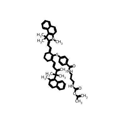 C=C(C)OC(=O)NCCCNC(=O)c1ccc(SC2=C(/C=C/C(=C)C(C)(C)c3c(C)ccc4ccccc34)CCC/C2=C\C=C2/N(C)c3ccc4ccccc4c3C2(C)C)cc1